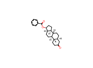 C[C@]12CCC(=O)C[C@@H]1CC[C@@H]1[C@@H]2CC[C@]2(C)[C@@H](OC(=O)c3ccccc3)CC[C@@H]12